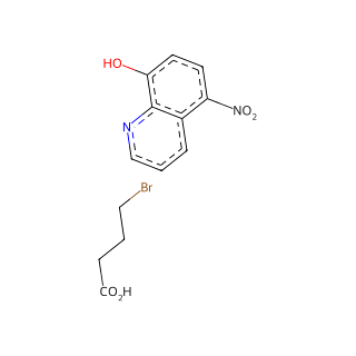 O=C(O)CCCBr.O=[N+]([O-])c1ccc(O)c2ncccc12